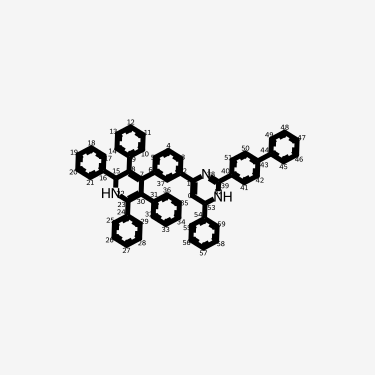 C1=C(c2cccc(C3=C(c4ccccc4)C(c4ccccc4)NC(c4ccccc4)=C3c3ccccc3)c2)N=C(c2ccc(-c3ccccc3)cc2)NC1c1ccccc1